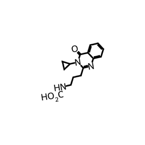 O=C(O)NCCCc1nc2ccccc2c(=O)n1C1CC1